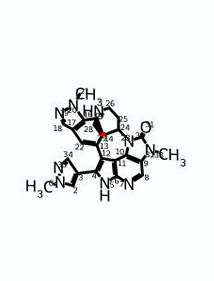 Cn1cc(-c2[nH]c3ncc4c(c3c2-c2ccc3c(cnn3C)c2)n(C2CCNCC2)c(=O)n4C)cn1